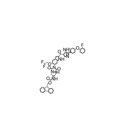 Cc1cc(Oc2ccccc2F)ccc1-n1ncc(C(=O)c2cc3cc(OCC(F)F)c(N4C(=O)[C@@H]5C[C@H](NC(=O)OCC6c7ccccc7-c7ccccc76)CN5C4=O)cc3[nH]2)c1N